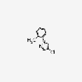 Cc1ccccc1-n1cc(Cl)cn1